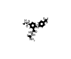 CNS(=O)(=O)c1ccc(Nc2ccc(C(F)(F)F)cc2)c(C(=O)NNC(N)=S)c1